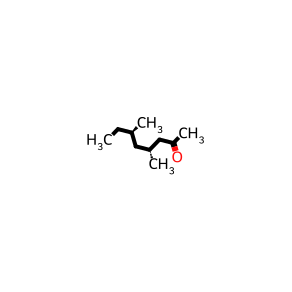 CC[C@@H](C)C[C@@H](C)CC(C)=O